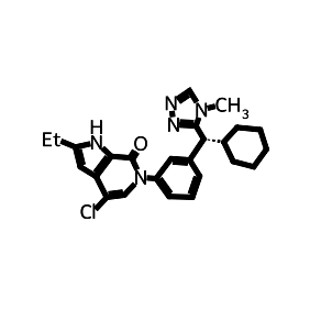 CCc1cc2c(Cl)cn(-c3cccc([C@H](c4nncn4C)C4CCCCC4)c3)c(=O)c2[nH]1